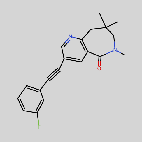 CN1CC(C)(C)Cc2ncc(C#Cc3cccc(F)c3)cc2C1=O